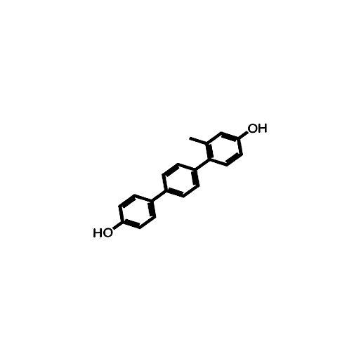 Cc1cc(O)ccc1-c1ccc(-c2ccc(O)cc2)cc1